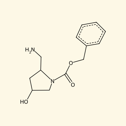 NCC1CC(O)CN1C(=O)OCc1ccccc1